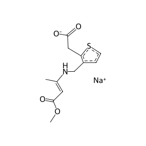 COC(=O)C=C(C)NCc1ccsc1CC(=O)[O-].[Na+]